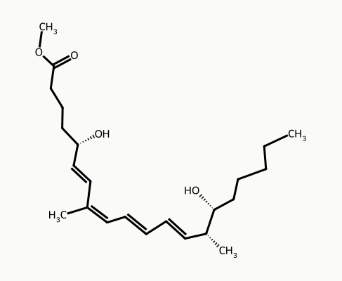 CCCCC[C@@H](O)[C@H](C)/C=C/C=C/C=C(C)\C=C\[C@@H](O)CCCC(=O)OC